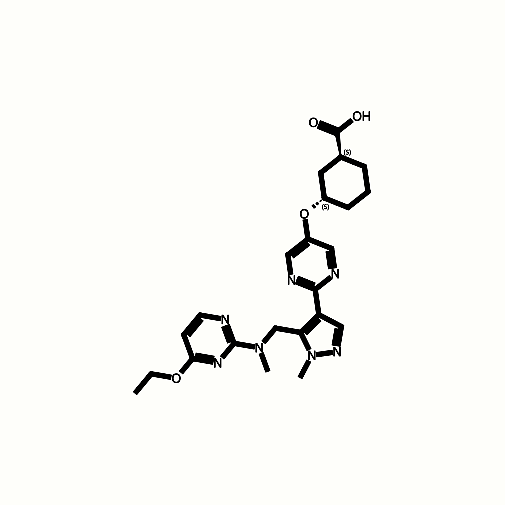 CCOc1ccnc(N(C)Cc2c(-c3ncc(O[C@H]4CCC[C@H](C(=O)O)C4)cn3)cnn2C)n1